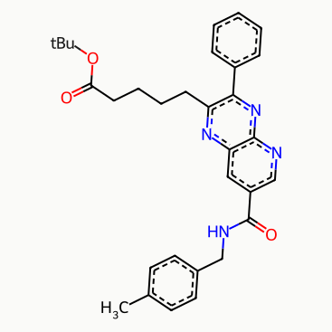 Cc1ccc(CNC(=O)c2cnc3nc(-c4ccccc4)c(CCCCC(=O)OC(C)(C)C)nc3c2)cc1